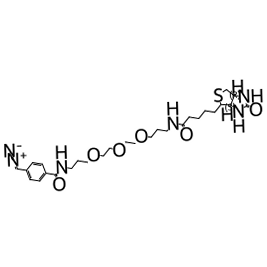 [N-]=[N+]=Cc1ccc(C(=O)NCCCOCCOCCOCCCNC(=O)CCCCC2SC[C@@H]3NC(=O)N[C@H]23)cc1